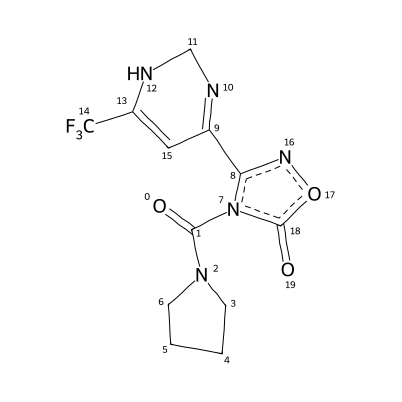 O=C(N1CCCC1)n1c(C2=NCNC(C(F)(F)F)=C2)noc1=O